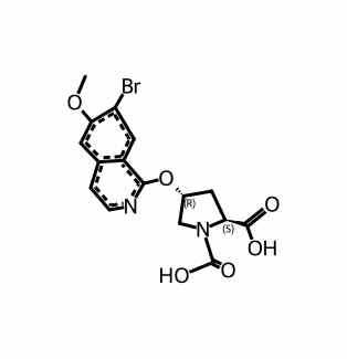 COc1cc2ccnc(O[C@@H]3C[C@@H](C(=O)O)N(C(=O)O)C3)c2cc1Br